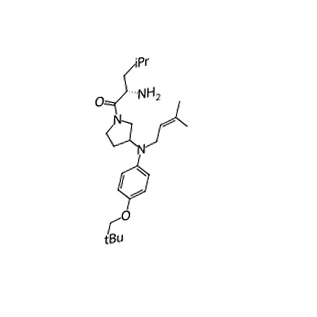 CC(C)=CCN(c1ccc(OCC(C)(C)C)cc1)C1CCN(C(=O)[C@@H](N)CC(C)C)C1